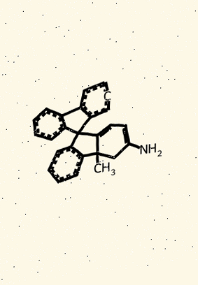 CC12CC(N)=CC=C1C1(c3ccccc3-c3ccccc31)c1ccccc12